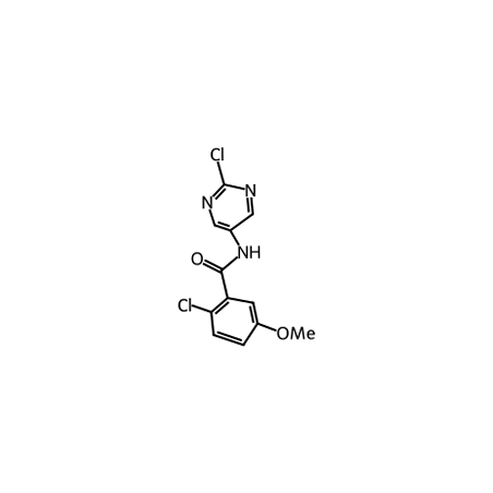 COc1ccc(Cl)c(C(=O)Nc2cnc(Cl)nc2)c1